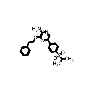 CC(C)S(=O)(=O)c1ccc(-c2cnc(N)c(OCCc3ccccc3)n2)cc1